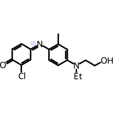 CCN(CCO)c1ccc(/N=C2/C=CC(=O)C(Cl)=C2)c(C)c1